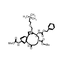 COC(=O)Nc1ccc2c(c1)NC(=O)CCN(C(=O)OC(C)(C)C)C[C@H](NC(=O)OCc1ccccc1)c1nc-2cn1COCC[Si](C)(C)C